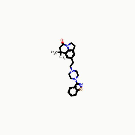 CC1(C)CC(=O)N2CCc3cc(CCN4CCN(c5nsc6ccccc56)CC4)cc1c32